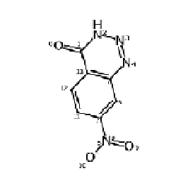 O=c1[nH]nnc2cc([N+](=O)[O-])ccc12